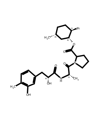 Cc1ccc(C[C@@H](O)C(=O)N[C@@H](C)C(=O)N2CCCC2C(=O)O[C@@H]2C[C@H](C)CC[C@H]2C(C)C)cc1O